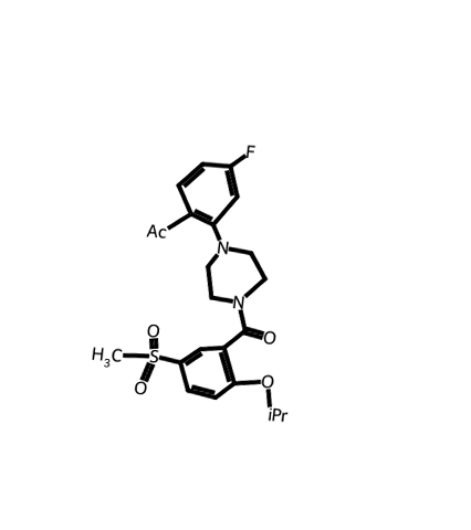 CC(=O)c1ccc(F)cc1N1CCN(C(=O)c2cc(S(C)(=O)=O)ccc2OC(C)C)CC1